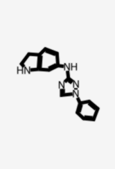 c1ccc(-n2cnc(Nc3ccc4c(c3)NCC4)n2)cc1